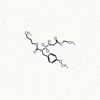 CCCCOC(=O)N(Cc1ccc(OC)cc1)S(=O)(=O)NCC(=O)OCC